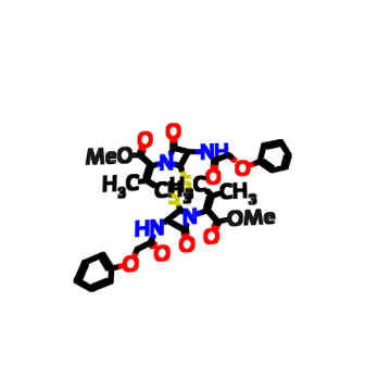 COC(=O)C(=C(C)C)N1C(=O)C(NC(=O)COc2ccccc2)C1SSC1C(NC(=O)COc2ccccc2)C(=O)N1C(C(=O)OC)=C(C)C